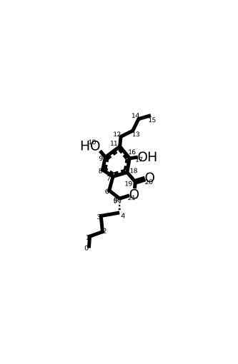 CCCCC[C@@H]1Cc2cc(O)c(CCCC)c(O)c2C(=O)O1